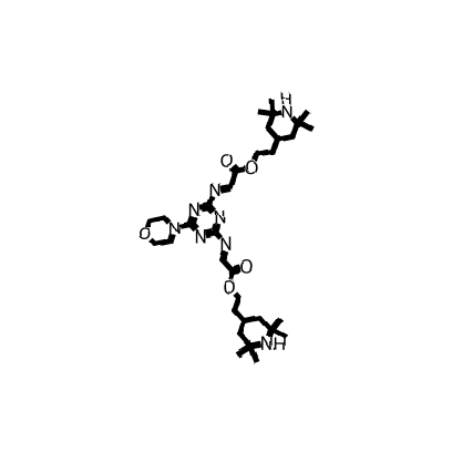 CC1(C)CC(CCOC(=O)C=Nc2nc(N=CC(=O)OCCC3CC(C)(C)NC(C)(C)C3)nc(N3CCOCC3)n2)CC(C)(C)N1